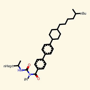 CCCCCCCC(C)NC(=O)N(C(=O)c1ccc(-c2ccc(C3CCC(CCCCC(C)CCCC)CC3)cc2)cc1)C(C)C